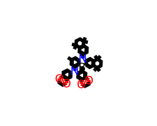 Cc1cc2c3c(c1)N(c1ccc4c(c1)C(C)(C)CCC4(C)C)c1cc4c(cc1B3c1cc3c(cc1N2c1ccc2c(c1)OCCO2)OCCO3)C(C)(C)CCC4(C)C